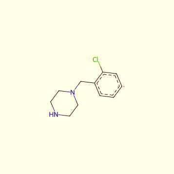 Clc1c[c]ccc1CN1CCNCC1